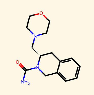 NC(=O)N1Cc2ccccc2C[C@H]1CN1CCOCC1